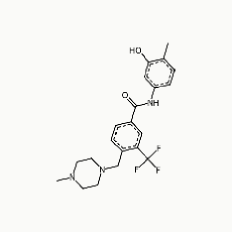 Cc1ccc(NC(=O)c2ccc(CN3CCN(C)CC3)c(C(F)(F)F)c2)cc1O